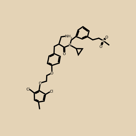 Cc1cc(Cl)c(OCCOc2ccc(CC(CN)C(=O)N(Cc3cccc(CCS(C)(=O)=O)c3)C3CC3)cc2)c(Cl)c1